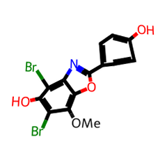 COc1c(Br)c(O)c(Br)c2nc(-c3ccc(O)cc3)oc12